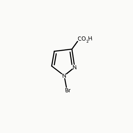 O=C(O)c1ccn(Br)n1